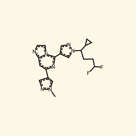 Cn1cc(-c2cc3nccn3c(-c3cnn(C(CCC(F)F)C4CC4)c3)n2)cn1